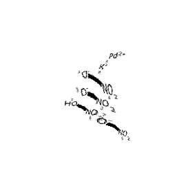 O=[N+]([O-])O.O=[N+]([O-])[O-].O=[N+]([O-])[O-].O=[N+]([O-])[O-].[K+].[Pd+2]